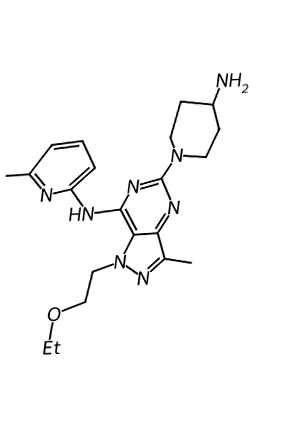 CCOCCn1nc(C)c2nc(N3CCC(N)CC3)nc(Nc3cccc(C)n3)c21